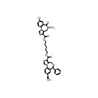 C#Cc1ccc2c(c1)C(c1ccccc1)=NCc1c(C(=O)OCCCCCOC(=O)c3ncn4c3CN(C)C(=O)c3cc(Cl)ccc3-4)ncn1-2